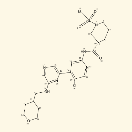 CCS(=O)(=O)N1CCC[C@H](C(=O)Nc2cc(-c3cncc(NCC4CCOCC4)n3)c(Cl)cn2)C1